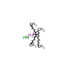 Br.CCCCCCCC(CCC)C(P)(CCCCCCC)CCCCCCC